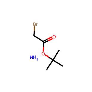 CC(C)(C)OC(=O)CBr.N